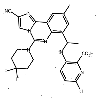 Cc1cc(C(C)Nc2ccc(Cl)nc2C(=O)O)c2nc(N3CCC(F)(F)CC3)n3cc(C#N)nc3c2c1